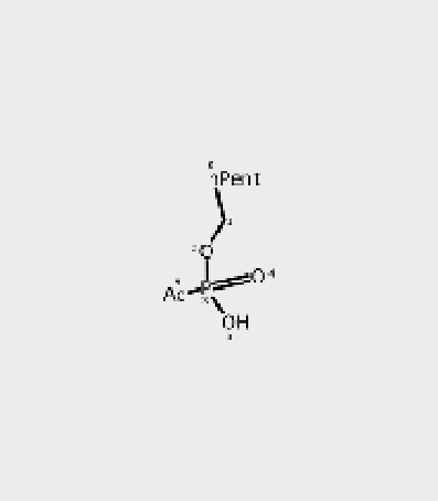 CCCCCCOP(=O)(O)C(C)=O